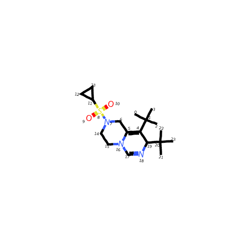 CC(C)(C)C1=C2CN(S(=O)(=O)C3CC3)CCN2C=NC1C(C)(C)C